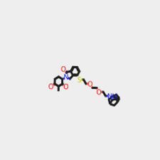 CC1C(=O)CCC(N2Cc3c(SCCOCCOCCNC4C5CC6CC(C5)C4C6)cccc3C2=O)C1=O